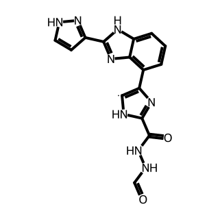 O=CNNC(=O)c1nc(-c2cccc3[nH]c(-c4cc[nH]n4)nc23)[c][nH]1